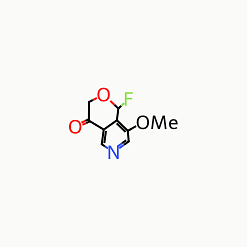 COc1cncc2c1C(F)OCC2=O